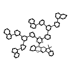 CC1(C)C2=C(C=C3Oc4ccccc4N(c4nc(-c5cccc(-c6cc(-c7cccc(-c8cccc9ccccc89)c7)cc(-c7cccc(-c8cccc9ccccc89)c7)c6)c5)nc(-c5cccc(-c6cc(-c7cccc(-c8cccc9ccccc89)c7)cc(-c7cccc(-c8cccc9ccccc89)c7)c6)c5)n4)C3C2)c2ccccc21